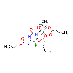 C=CCOC(=O)Nc1nc(=O)n([C@@H]2O[C@H](C)[C@@H](OC(=O)CC=C)[C@H]2OC(=O)CC=C)cc1F